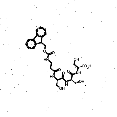 O=C(CCNC(=O)OCC1c2ccccc2-c2ccccc21)N[C@H](CO)C(=O)N[C@H](CO)C(=O)N[C@H](CO)C(=O)O